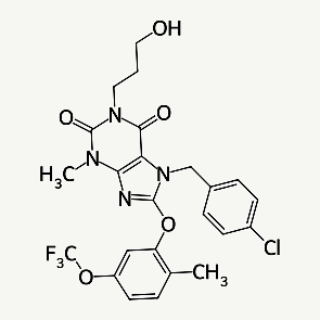 Cc1ccc(OC(F)(F)F)cc1Oc1nc2c(c(=O)n(CCCO)c(=O)n2C)n1Cc1ccc(Cl)cc1